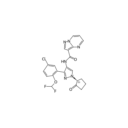 O=C(Nc1cn([C@H]2CCCC2=O)nc1-c1cc(Cl)ccc1OC(F)F)c1cnn2cccnc12